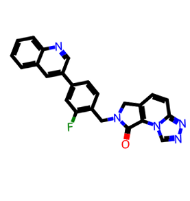 O=C1c2c(ccc3nncn23)CN1Cc1ccc(-c2cnc3ccccc3c2)cc1F